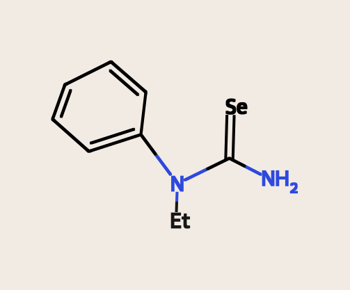 CCN(C(N)=[Se])c1ccccc1